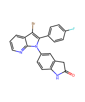 O=C1Cc2cc(-n3c(-c4ccc(F)cc4)c(Br)c4cccnc43)ccc2N1